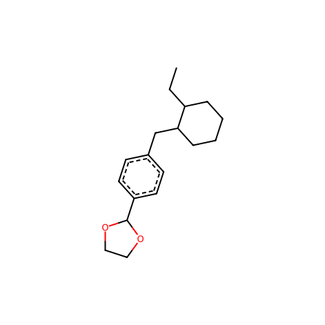 CCC1CCCCC1Cc1ccc(C2OCCO2)cc1